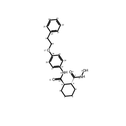 O=C(NO)[C@@H]1CCCC[C@H]1C(=O)Nc1ccc(OCCc2ccccc2)cc1